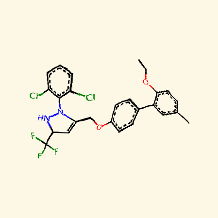 CCOc1ccc(C)cc1-c1ccc(OCC2=CC(C(F)(F)F)NN2c2c(Cl)cccc2Cl)cc1